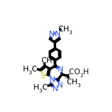 Cc1sc2c(c1C)C(c1ccc(-c3cnn(C)c3)cc1)=NC([C@H](C)C(=O)O)c1nnc(C)n1-2